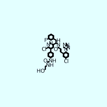 O=C(C=Cc1cc(Cl)ccc1-n1cnnn1)NC(Cc1cccc(F)c1)c1cc(-c2ccc(NC(=O)NCCO)cc2)c(Cl)nn1